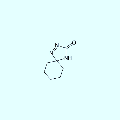 O=C1N=NC2(CCCCC2)N1